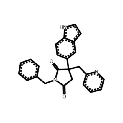 O=C1CC(Cc2ccccn2)(c2ccc3[nH]ccc3c2)C(=O)N1Cc1ccccc1